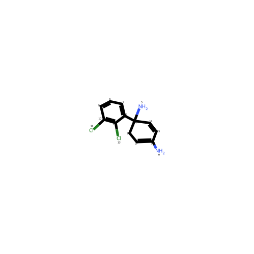 NC1=CCC(N)(c2cccc(Cl)c2Cl)C=C1